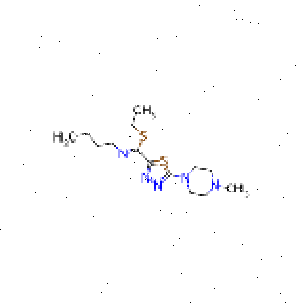 CCCC/N=C(\SCC)c1nnc(N2CCN(C)CC2)s1